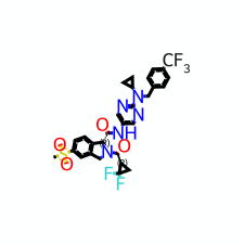 CS(=O)(=O)c1ccc2c(c1)CN(C(=O)[C@H]1CC1(F)F)[C@H]2C(=O)Nc1cnc(N(Cc2ccc(C(F)(F)F)cc2)C2CC2)nc1